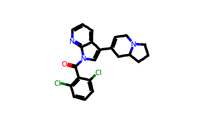 O=C(c1c(Cl)cccc1Cl)n1cc(C2=CCN3CCCC3C2)c2cccnc21